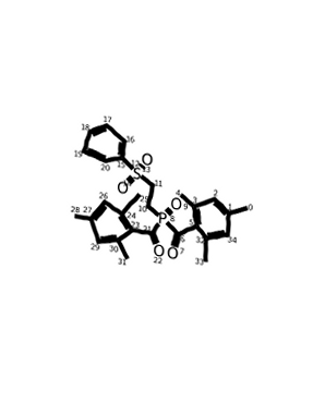 Cc1cc(C)c(C(=O)P(=O)(CCS(=O)(=O)c2ccccc2)C(=O)c2c(C)cc(C)cc2C)c(C)c1